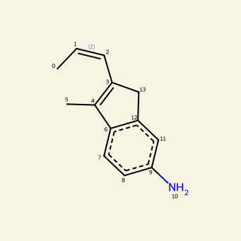 C/C=C\C1=C(C)c2ccc(N)cc2C1